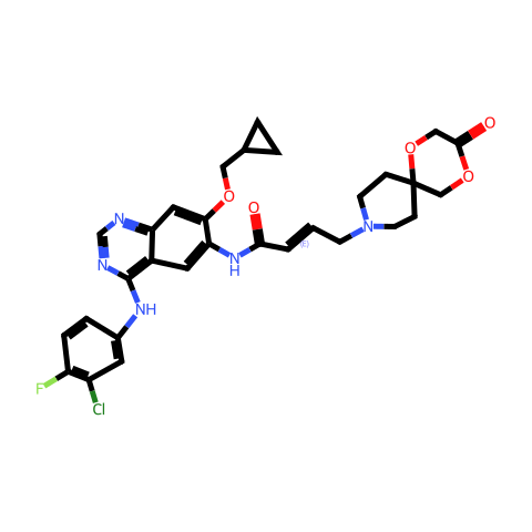 O=C(/C=C/CN1CCC2(CC1)COC(=O)CO2)Nc1cc2c(Nc3ccc(F)c(Cl)c3)ncnc2cc1OCC1CC1